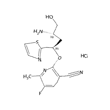 Cc1nc(O[C@H](C[C@H](N)CO)c2nccs2)c(C#N)cc1F.Cl